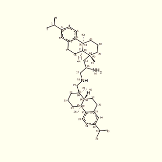 CC(C)c1ccc2c(c1)CC[C@@H]1[C@@](C)(CC(N)CNC[C@]3(C)CCC[C@]4(C)c5ccc(C(C)C)cc5CC[C@@H]34)CCC[C@]21C